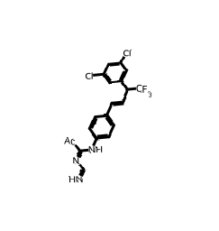 CC(=O)/C(=N/C=N)Nc1ccc(/C=C/C(c2cc(Cl)cc(Cl)c2)C(F)(F)F)cc1